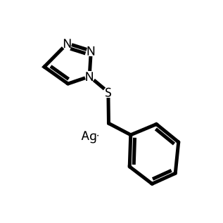 [Ag].c1ccc(CSn2ccnn2)cc1